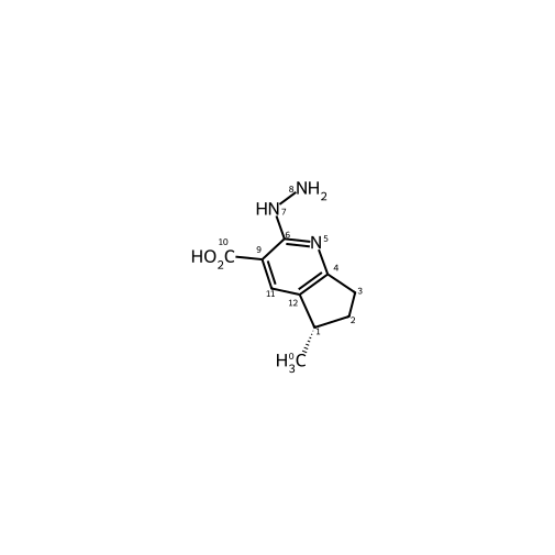 C[C@H]1CCc2nc(NN)c(C(=O)O)cc21